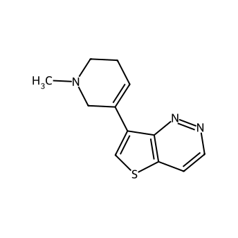 CN1CCC=C(c2csc3ccnnc23)C1